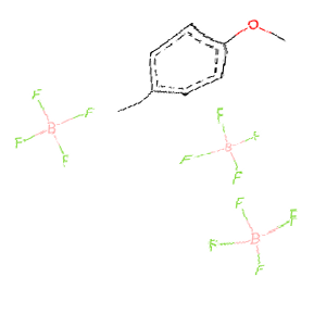 COc1ccc(C)cc1.F[B-](F)(F)F.F[B-](F)(F)F.F[B-](F)(F)F